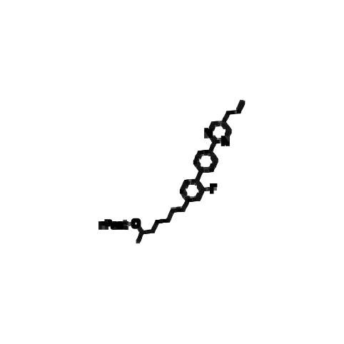 C=CCc1cnc(-c2ccc(-c3ccc(C=CCCCC(C)OCCCCC)cc3F)cc2)nc1